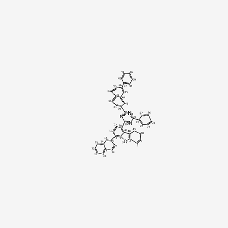 C1=Cc2oc3c(-c4ccc5ccccc5c4)ccc(-c4nc(-c5ccccc5)nc(-c5ccc6ccc(-c7ccccc7)cc6c5)n4)c3c2CC1